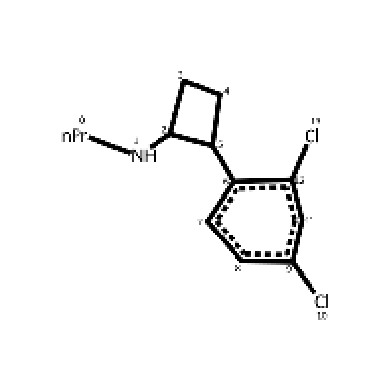 CCCNC1CCC1c1ccc(Cl)cc1Cl